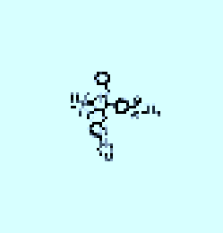 CC1(C)CN(Cc2ccccc2)C(c2ccc(S(C)(=O)=O)cc2)/C(=C/c2cccc(N3CCOCC3)n2)C1=O